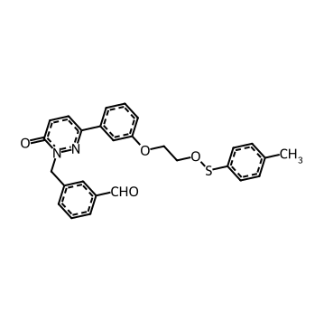 Cc1ccc(SOCCOc2cccc(-c3ccc(=O)n(Cc4cccc(C=O)c4)n3)c2)cc1